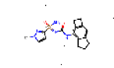 CCn1ccc([S@](N)(=O)=NC(=O)Nc2c3c(cc4c2CC4)CCC3)n1